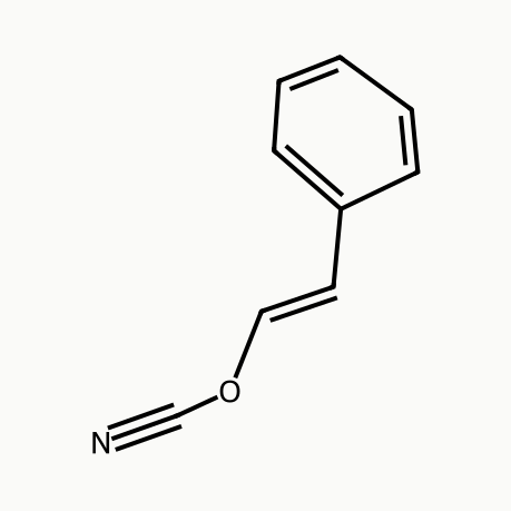 N#COC=Cc1ccccc1